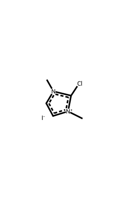 Cn1cc[n+](C)c1Cl.[I-]